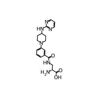 N[C@@H](CNC(=O)c1cccc(N2CCC(Nc3ncccn3)CC2)c1)C(=O)O